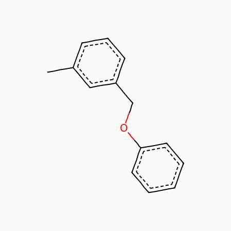 Cc1cccc(COc2ccccc2)c1